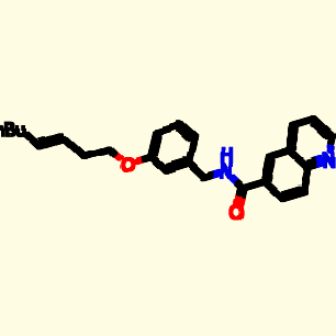 CCCCC=CCCOc1cccc(CNC(=O)c2ccc3ncccc3c2)c1